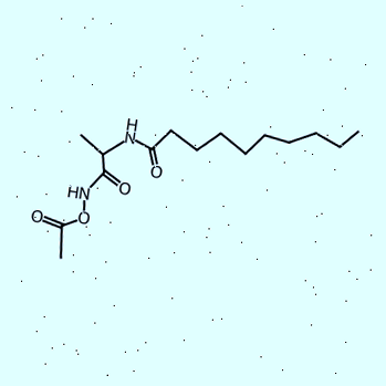 CCCCCCCCCC(=O)NC(C)C(=O)NOC(C)=O